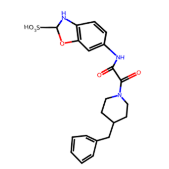 O=C(Nc1ccc2c(c1)OC(S(=O)(=O)O)N2)C(=O)N1CCC(Cc2ccccc2)CC1